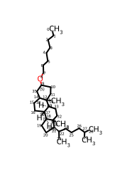 CCCCCCCCO[C@H]1CC[C@@]2(C)C(CC[C@H]3[C@@H]4CC[C@H](C(C)CCCC(C)C)[C@@]4(C)CC[C@@H]32)C1